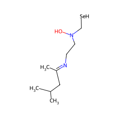 C/C(CC(C)C)=N\CCN(O)C[SeH]